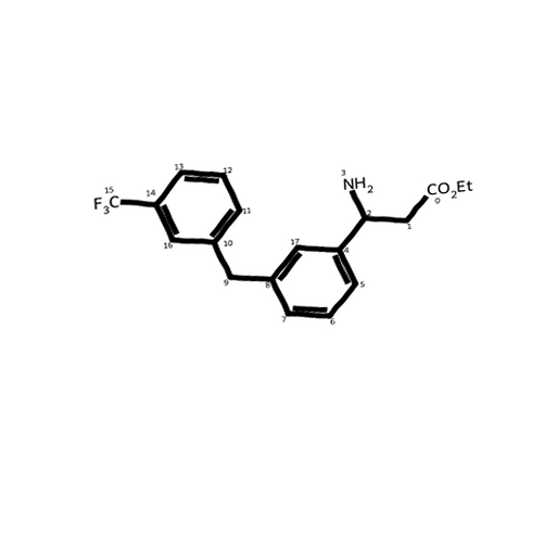 CCOC(=O)CC(N)c1cccc(Cc2cccc(C(F)(F)F)c2)c1